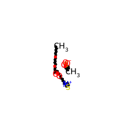 CCCCCCCCCCCCCCCCC1COC(COCCCCCC[n+]2ccsc2)C1.Cc1ccc(S(=O)(=O)[O-])cc1